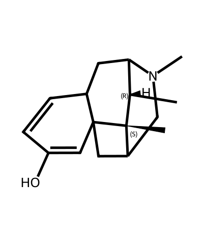 C[C@H]1C2CC3C=CC(O)=CC34CC(CN2C)[C@@]14C